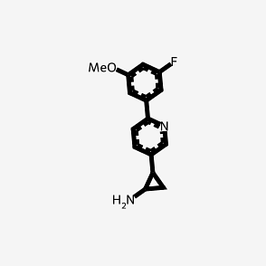 COc1cc(F)cc(-c2ccc(C3CC3N)cn2)c1